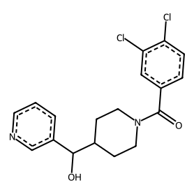 O=C(c1ccc(Cl)c(Cl)c1)N1CCC(C(O)c2cccnc2)CC1